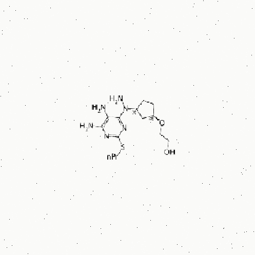 CCCSc1nc(N)c(N)c(N(N)[C@H]2CC[C@@H](OCCO)C2)n1